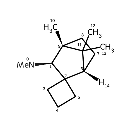 CN[C@@H]1C2(CCC2)[C@H]2CC[C@]1(C)C2(C)C